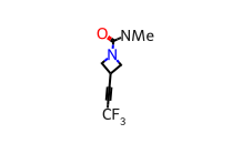 CNC(=O)N1CC(C#CC(F)(F)F)C1